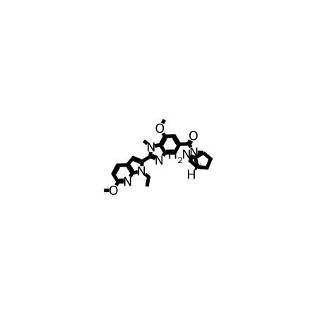 CCn1c(-c2nc3cc(C(=O)N4C[C@H]5CCC4C5N)cc(OC)c3n2C)cc2ccc(OC)nc21